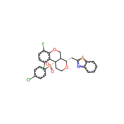 O=S(=O)(c1ccc(Cl)cc1)[C@@]12CCO[C@@H](Cc3nc4ccccc4s3)C1COc1c(F)ccc(F)c12